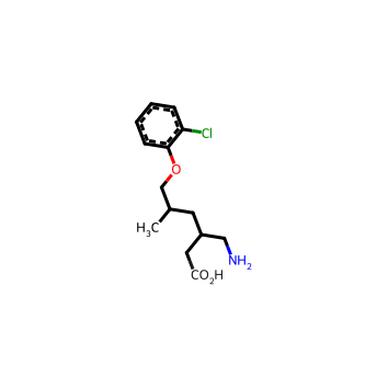 CC(COc1ccccc1Cl)CC(CN)CC(=O)O